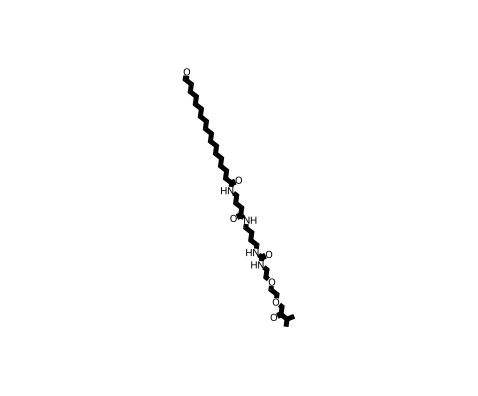 CC(C)C(=O)COCCOCCNC(=O)NCCCCNC(=O)CCCNC(=O)CCCCCCCCCCCCCCCCC=O